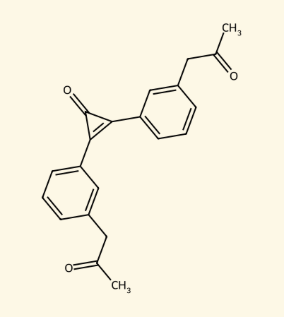 CC(=O)Cc1cccc(-c2c(-c3cccc(CC(C)=O)c3)c2=O)c1